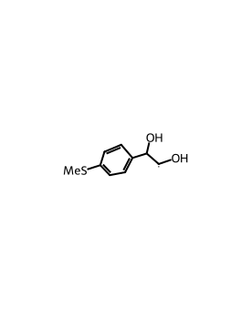 CSc1ccc(C(O)[CH]O)cc1